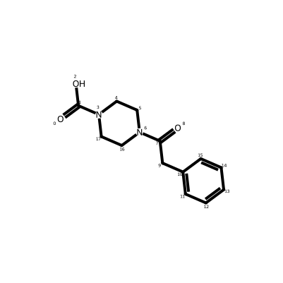 O=C(O)N1CCN(C(=O)Cc2ccccc2)CC1